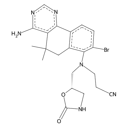 CC1(C)Cc2c(ccc(Br)c2N(CCC#N)C[C@@H]2CNC(=O)O2)-c2ncnc(N)c21